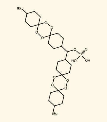 CC(C)(C)C1CCC2(CC1)OOC1(CCC(C(OP(=O)(O)O)C3CCC4(CC3)OOC3(CCC(C(C)(C)C)CC3)OO4)CC1)OO2